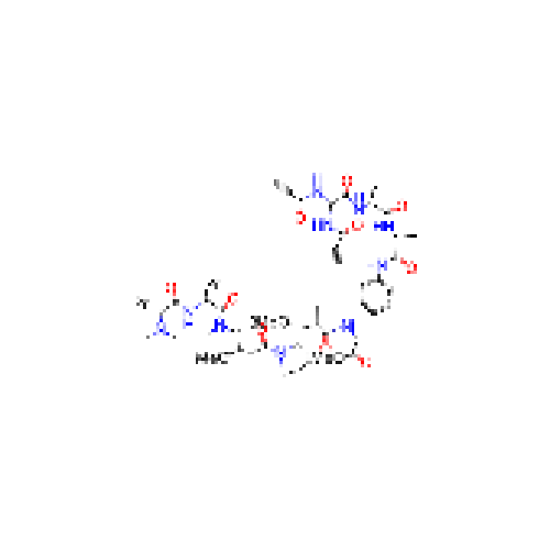 C#CC(=O)NC(NC(=O)C#C)C(=O)N[C@@H](C)C(=O)N[C@@H](C)C(=O)Nc1ccc(C[C@@H](NC(=O)[C@H](C)[C@@H](OC)[C@@H]2CCCN2C(=O)C[C@@H](OC)[C@H]([C@@H](C)CC)N(C)C(=O)[C@@H](NC(=O)[C@@H](C(C)C)N(C)C)C(C)C)C(=O)OC)cc1